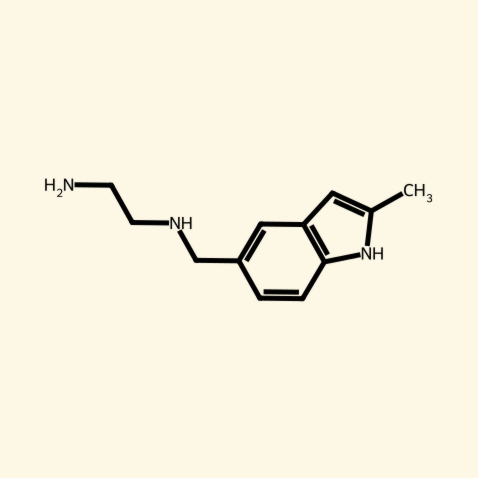 Cc1cc2cc(CNCCN)ccc2[nH]1